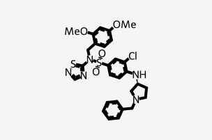 COc1ccc(CN(c2ncns2)S(=O)(=O)c2ccc(N[C@@H]3CCN(Cc4ccccc4)C3)c(Cl)c2)c(OC)c1